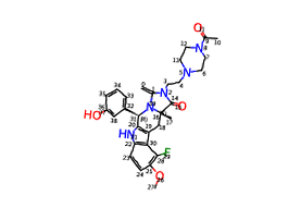 C=C1N(CCN2CCN(C(C)=O)CC2)C(=O)[C@]2(C)Cc3c([nH]c4ccc(OC)c(F)c34)[C@@H](c3cccc(O)c3)N12